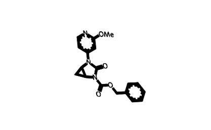 COc1cc(N2C(=O)N(C(=O)OCc3ccccc3)C3CC32)ccn1